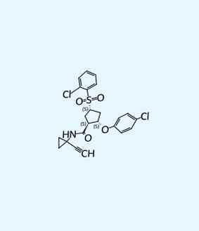 C#CC1(NC(=O)[C@H]2C[C@H](S(=O)(=O)c3ccccc3Cl)C[C@@H]2Oc2ccc(Cl)cc2)CC1